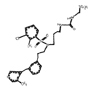 Cc1cnccc1-c1cccc(CCN(CCCNC(=O)NCS(=O)(=O)O)S(=O)(=O)c2cccc(Cl)c2C)c1